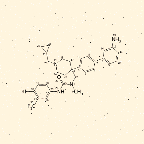 CN(CC1(c2ccc(-c3cccc(N)c3)cc2)CCN(CC2CC2)CC1)C(=O)Nc1ccc(I)c(C(F)(F)F)c1